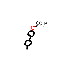 Cc1ccc(-c2ccc(OCC(=O)O)cc2)cc1